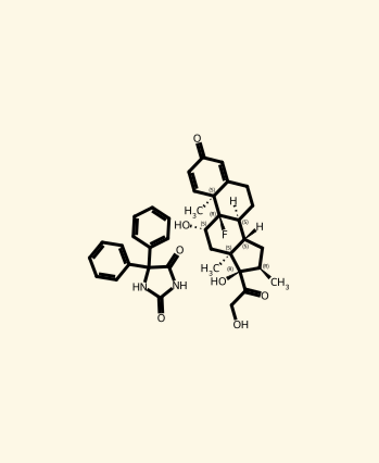 C[C@@H]1C[C@H]2[C@@H]3CCC4=CC(=O)C=C[C@]4(C)[C@@]3(F)[C@@H](O)C[C@]2(C)[C@@]1(O)C(=O)CO.O=C1NC(=O)C(c2ccccc2)(c2ccccc2)N1